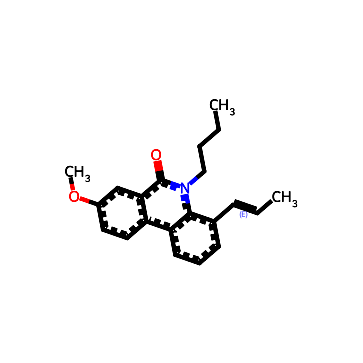 C/C=C/c1cccc2c3ccc(OC)cc3c(=O)n(CCCC)c12